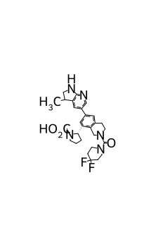 CC1CNc2ncc(-c3cc4c(c([C@@H]5CCCN5C(=O)O)c3)CN(C(=O)N3CCC(F)(F)CC3)CC4)cc21